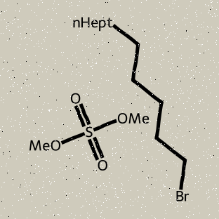 CCCCCCCCCCCCBr.COS(=O)(=O)OC